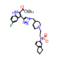 CC(C)COC(=O)c1[nH]c2ccc(F)cc2c1-c1cn(CC2CCN(CCN(c3ccc4c(c3)CCC4)[SH](=O)=O)CC2)nn1